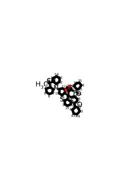 CC1(C)c2ccccc2N(c2ccc3c(c2)Sc2ccccc2C32c3ccccc3P(=O)(c3ccccc3)c3cc4oc5ccccc5c4cc32)c2ccccc21